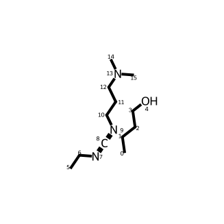 CCCCO.CCN=C=NCCCN(C)C